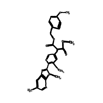 COC(=O)C(C(=O)OCc1ccc(OC)cc1)c1cnc(-c2nc3cc(C)cnc3n2C)c(C)c1